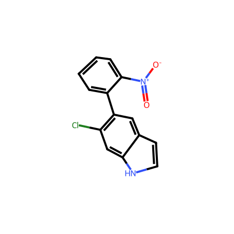 O=[N+]([O-])c1ccccc1-c1cc2cc[nH]c2cc1Cl